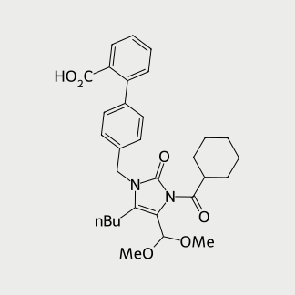 CCCCc1c(C(OC)OC)n(C(=O)C2CCCCC2)c(=O)n1Cc1ccc(-c2ccccc2C(=O)O)cc1